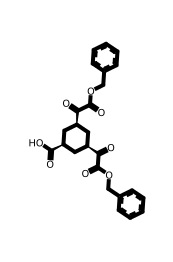 O=C(OCc1ccccc1)C(=O)[C@@H]1C[C@H](C(=O)O)C[C@H](C(=O)C(=O)OCc2ccccc2)C1